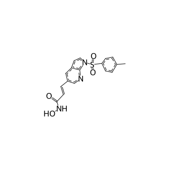 Cc1ccc(S(=O)(=O)n2ccc3cc(/C=C/C(=O)NO)cnc32)cc1